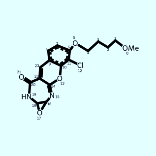 COCCCCOc1ccc2c(c1Cl)OC1=NC3OC3NC(=O)C1=C2